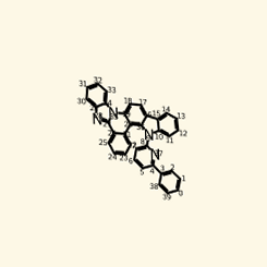 c1ccc(-c2cccc(-n3c4ccccc4c4ccc5c(c6ccccc6c6nc7ccccc7n56)c43)n2)cc1